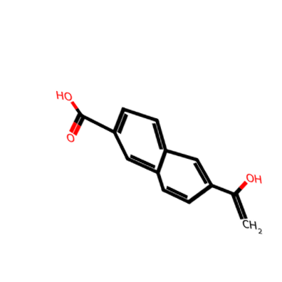 C=C(O)c1ccc2cc(C(=O)O)ccc2c1